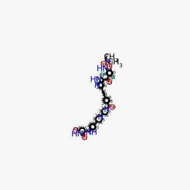 CCN(C)S(=O)(=O)Nc1ccc(F)c(C(=O)c2c[nH]c3ncc(C#Cc4ccc(C(=O)N5CCC(N6CCC(c7ccc(NC8CCC(=O)NC8=O)cc7)CC6)CC5)cc4)cc23)c1F